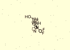 CN1CCCc2c1c(-c1ccc(F)c(F)c1)nn2C(=O)N[C@H](C(=O)NCCO)C(C)(C)C